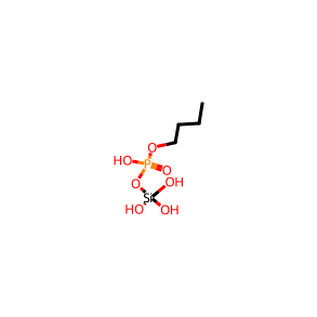 CCCCOP(=O)(O)O[Si](O)(O)O